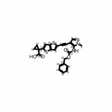 Cn1ncc(C#Cc2cc3sc(C4(C(=O)O)CC4)cc3s2)c1NC(=O)OCc1ccccc1